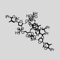 CO[C@H](COP(=O)(S)O[C@@H]1C[C@H](N(/C=C(/C)C(=O)C(C)C)C(C)=O)O[C@@H]1COP(=O)(S)O[C@@H]1CC(n2cnc(C(=O)C(C)C)c2/N=C(\C)C(C)C)O[C@@H]1COP(=O)(O)S)[C@@H](Cn1cc(C)c(C)nc1=O)OP(=O)(S)OC[C@@H]1CC[C@H](N(/C=C(/C)C(=O)C(C)C)C(C)=O)O1